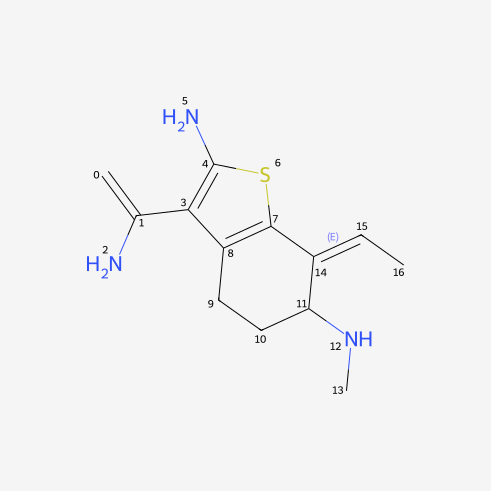 C=C(N)c1c(N)sc2c1CCC(NC)/C2=C\C